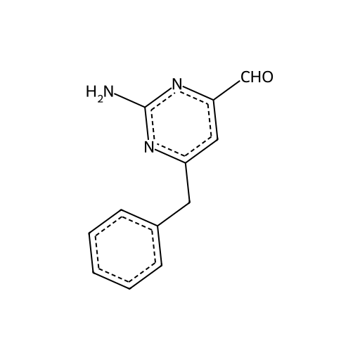 Nc1nc(C=O)cc(Cc2ccccc2)n1